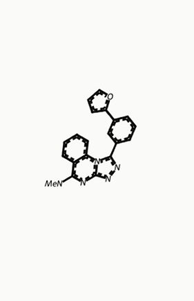 CNc1nc2nnc(-c3cccc(-c4ccco4)c3)n2c2ccccc12